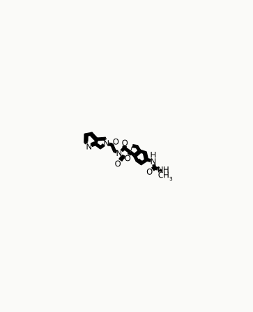 CNC(=O)Nc1ccc2c(c1)CC[C@@]21OC(=O)N(CC(=O)N2Cc3cccnc3C2)C1=O